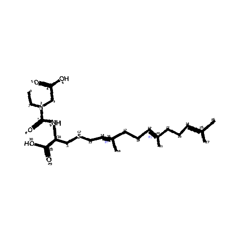 CCN(CC(=O)O)C(=O)NC(CSC/C=C(\C)CC/C=C(\C)CCC=C(C)C)C(=O)O